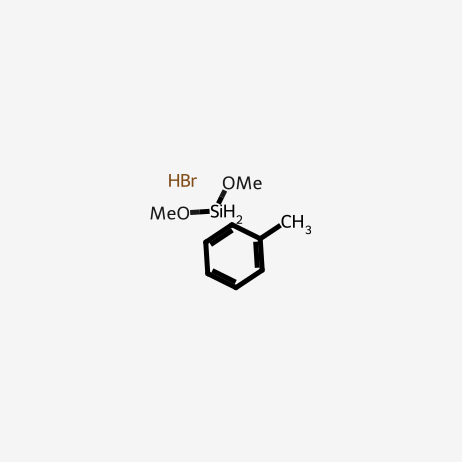 Br.CO[SiH2]OC.Cc1ccccc1